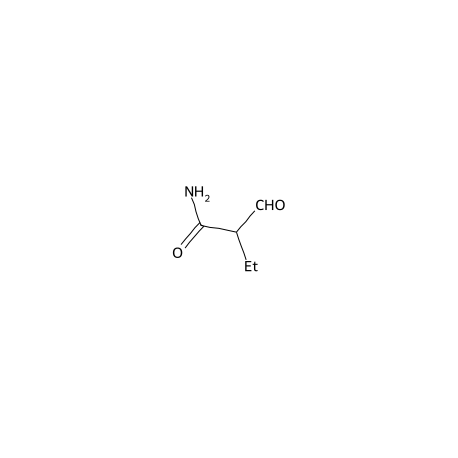 CCC(C=O)C(N)=O